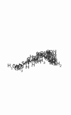 CC(C)=CC(=O)CC(=O)SCCNC(=O)CCNC(=O)[C@H](O)C(C)(C)COP(=O)(O)OP(=O)(O)OC[C@H]1O[C@@H](n2cnc3c(N)ncnc32)[C@H](O)[C@@H]1OP(=O)(O)O